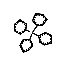 c1cc[c]([Fe]([c]2ccccc2)([c]2ccccc2)[c]2ccccc2)cc1